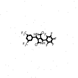 O=C1NC(c2c(F)c(F)c(F)c(F)c2F)=C2C(=O)NC(c3cc(C(F)(F)F)cc(C(F)(F)F)c3)=C12